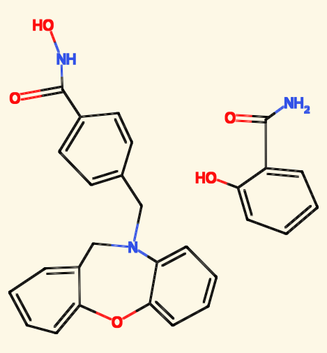 NC(=O)c1ccccc1O.O=C(NO)c1ccc(CN2Cc3ccccc3Oc3ccccc32)cc1